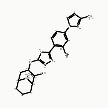 Cc1ccn(-c2ccc(-c3nnc(OC4CC5CCCC(C4F)N5C)s3)c(O)c2)n1